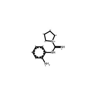 N=C(Nc1ccccc1N)N1CCCC1